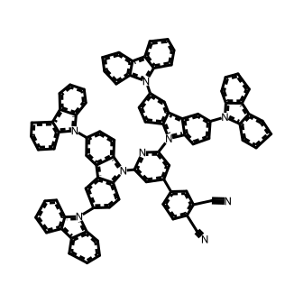 N#Cc1ccc(-c2cc(-n3c4ccc(-n5c6ccccc6c6ccccc65)cc4c4cc(-n5c6ccccc6c6ccccc65)ccc43)nc(-n3c4ccc(-n5c6ccccc6c6ccccc65)cc4c4cc(-n5c6ccccc6c6ccccc65)ccc43)c2)cc1C#N